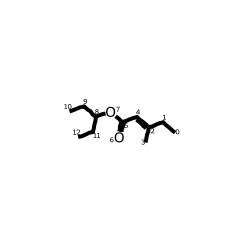 CC/C(C)=C/C(=O)OC(CC)CC